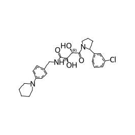 O=C(NCc1ccc(N2CCCCC2)cc1)[C@H](O)[C@@H](O)C(=O)N1CCCC1c1cccc(Cl)c1